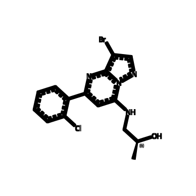 C[C@H](O)CNc1cc(-c2ccccc2Cl)nc2c(Br)cnn12